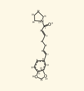 O=C(/C=C/CC/C=C/c1ccc2c(c1)OCO2)N1CCCC1